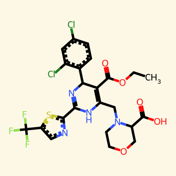 CCOC(=O)C1=C(CN2CCOCC2C(=O)O)NC(c2ncc(C(F)(F)F)s2)=NC1c1ccc(Cl)cc1Cl